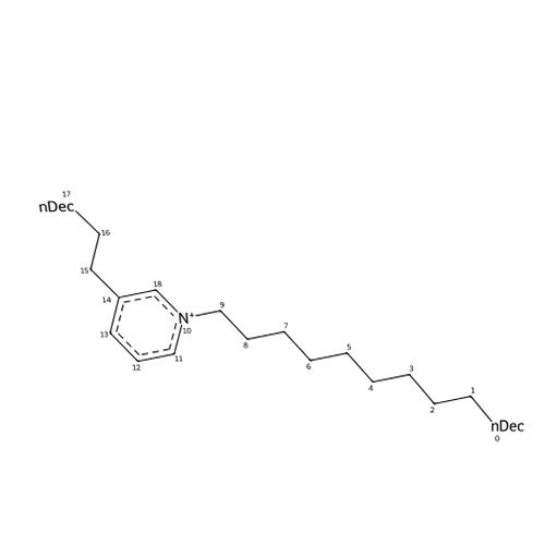 CCCCCCCCCCCCCCCCCCC[n+]1cccc(CCCCCCCCCCCC)c1